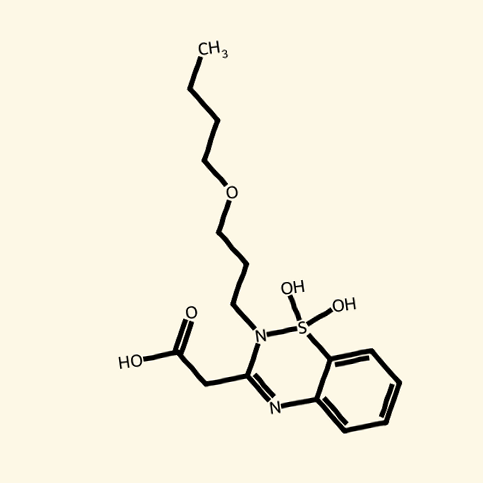 CCCCOCCCN1C(CC(=O)O)=Nc2ccccc2S1(O)O